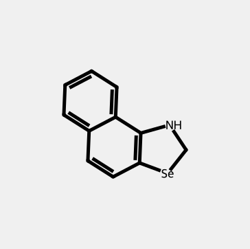 c1ccc2c3c(ccc2c1)[Se]CN3